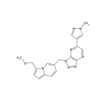 COCc1ccc2ccc(Cn3nnc4ncc(-c5cnn(C)c5)nc43)cn12